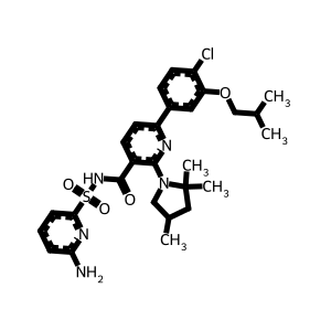 CC(C)COc1cc(-c2ccc(C(=O)NS(=O)(=O)c3cccc(N)n3)c(N3CC(C)CC3(C)C)n2)ccc1Cl